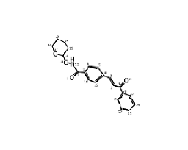 O=C(C=Cc1ccc(C(=O)NOC2CCCCO2)cc1)c1ccccc1